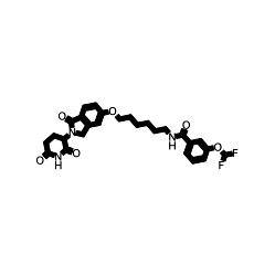 O=C1CCC(N2Cc3cc(OCCCCCCNC(=O)c4cccc(OC(F)F)c4)ccc3C2=O)C(=O)N1